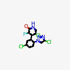 O=c1[nH]cc(Cl)c(-c2cc(Cl)ccc2-n2cc(Cl)nn2)c1F